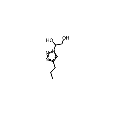 CCCc1cn(C(O)CO)nn1